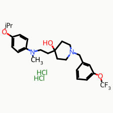 CC(C)Oc1ccc(N(C)CCC2(O)CCN(Cc3cccc(OC(F)(F)F)c3)CC2)cc1.Cl.Cl